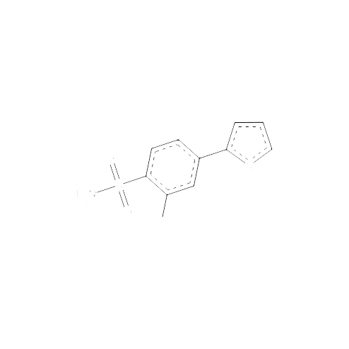 NS(=O)(=O)c1ccc(-c2cccs2)cc1F